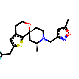 Cc1cc(CN2CC[C@]3(C[C@@H]2C)OCCc2cc(CC(F)F)sc23)no1